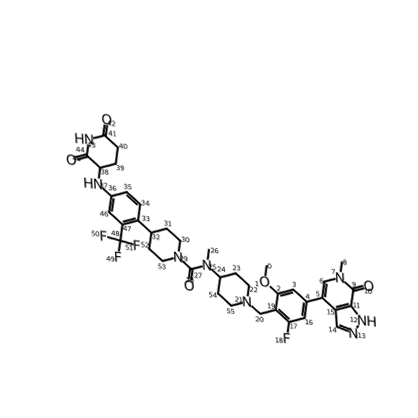 COc1cc(-c2cn(C)c(=O)c3[nH]ncc23)cc(F)c1CN1CCC(N(C)C(=O)N2CCC(c3ccc(NC4CCC(=O)NC4=O)cc3C(F)(F)F)CC2)CC1